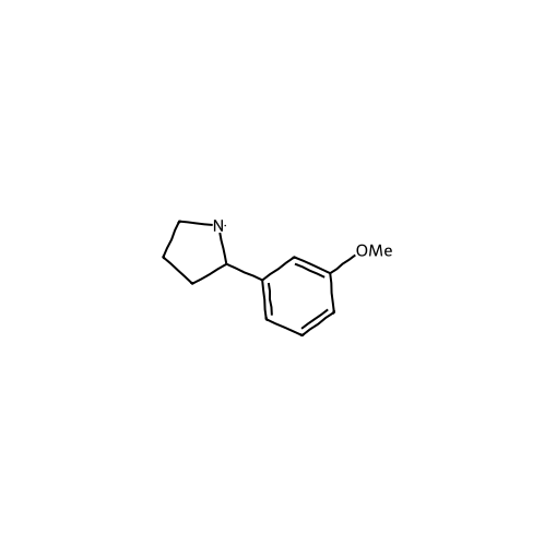 COc1cccc(C2CCC[N]2)c1